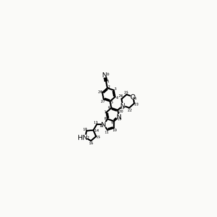 N#Cc1ccc(-c2cc3c(ccn3CC3CCNC3)nc2N2CCOCC2)cc1